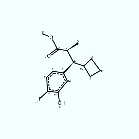 COC(=O)[C@@H](C)[C@H](c1ccc(I)c(O)c1)C1CCC1